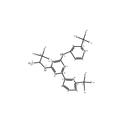 CC(Nc1nc(Nc2ccnc(C(F)(F)F)c2)nc(-c2cccc(C(F)(F)F)n2)n1)C(F)(F)F